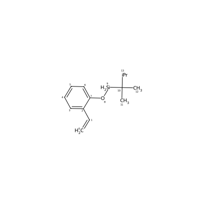 C=Cc1ccccc1O[SiH2]C(C)(C)C(C)C